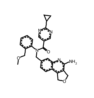 COCc1ccccc1N(Cc1ccc2c3c(c(N)nc2c1)COC3)C(=O)c1cnc(C2CC2)nc1